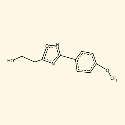 OCCc1nc(-c2ccc(OC(F)(F)F)cc2)no1